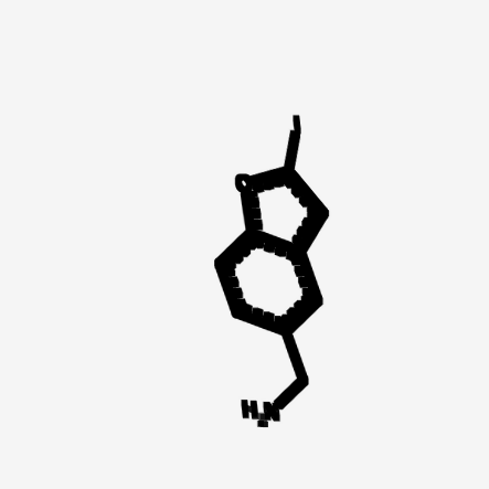 NCc1ccc2oc(I)cc2c1